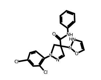 O=C(Nc1ccccc1)C1(N2NC=CO2)C=NN(c2ccc(Cl)cc2Cl)C1